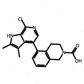 Cc1[nH]c2c(Cl)ncc(-c3cccc4c3CCN(C(=O)O)C4)c2c1C